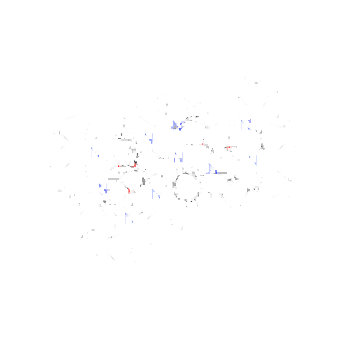 c1ccc(-n2c3ccccc3c3ccc4c5ccccc5n(-c5cc(-c6cccc(-c7cccc(-c8cc(-n9c%10ccccc%10c%10ccc%11c%12ccccc%12n(-c%12ccccc%12)c%11c%109)cc(-n9c%10ccccc%10c%10ccc%11c%12ccccc%12n(-c%12ccccc%12)c%11c%109)c8)n7)n6)cc(-n6c7ccccc7c7ccc8c9ccccc9n(-c9ccccc9)c8c76)c5)c4c32)cc1